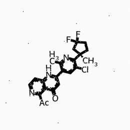 CC(=O)c1nccc2[nH]c(-c3cc(Cl)c([C@@]4(C)CCC(F)(F)C4)nc3C)cc(=O)c12